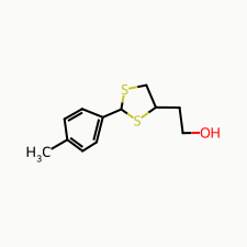 Cc1ccc(C2SCC(CCO)S2)cc1